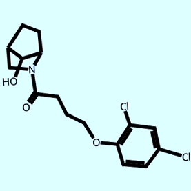 O=C(CCCOc1ccc(Cl)cc1Cl)N1CC2CCC1C2O